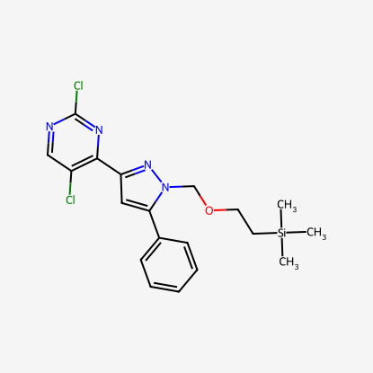 C[Si](C)(C)CCOCn1nc(-c2nc(Cl)ncc2Cl)cc1-c1ccccc1